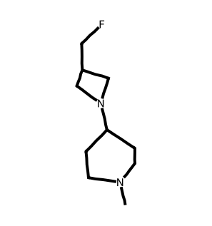 CN1CCC(N2CC(CF)C2)CC1